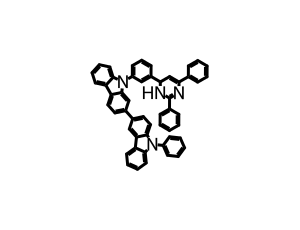 C1=C(c2ccccc2)N=C(c2ccccc2)NC1c1cccc(-n2c3ccccc3c3ccc(-c4ccc5c(c4)c4ccccc4n5-c4ccccc4)cc32)c1